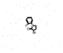 O=C1[C@@H](Br)CCN1c1ccccc1F